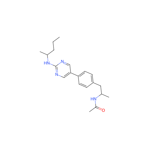 CCCC(C)Nc1ncc(-c2ccc(CC(C)NC(C)=O)cc2)cn1